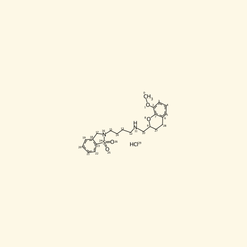 COc1cccc2c1OC(CNCCCCN1Cc3ccccc3S1(=O)=O)CC2.Cl